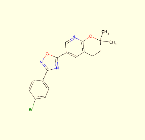 CC1(C)CCc2cc(-c3nc(-c4ccc(Br)cc4)no3)cnc2O1